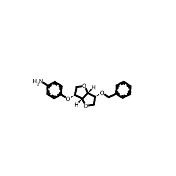 Nc1ccc(O[C@@H]2CO[C@H]3[C@@H]2OC[C@H]3OCc2ccccc2)cc1